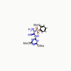 COc1nc(NC(=N)N(N)S(=O)(=O)c2ccccc2SC)nc(OC)n1